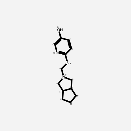 Oc1ccc(SCN2CC3CCCC3C2)nc1